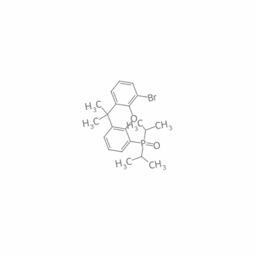 CC(C)P(=O)(c1cccc2c1Oc1c(Br)cccc1C2(C)C)C(C)C